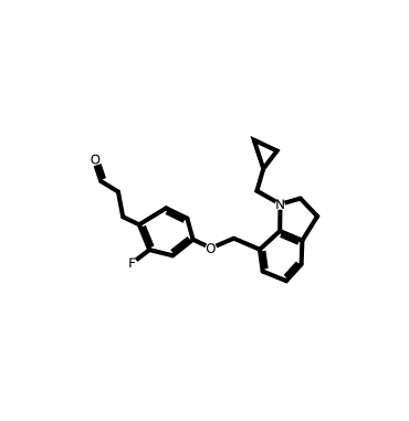 O=CCCc1ccc(OCc2cccc3c2N(CC2CC2)CC3)cc1F